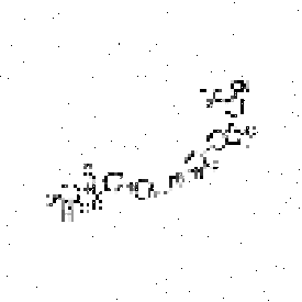 CC1(C)C(=O)N(c2ccc(C#N)c(C(F)(F)F)c2)c2ccc(-c3ccc(N4CC(CN5CCN(c6ccc7c(c6)C(=O)N(C6CCC(=O)NC6=O)C7=O)CC5)C4)nc3F)cc21